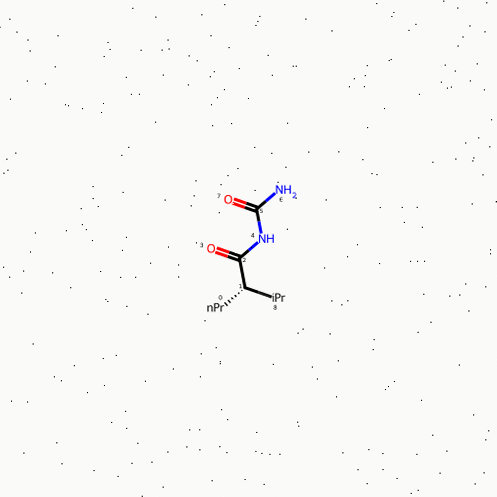 CCC[C@H](C(=O)NC(N)=O)C(C)C